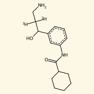 [2H]C([2H])(CN)C(O)c1cccc(NC(=O)C2CCCCC2)c1